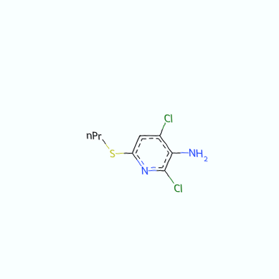 CCCSc1cc(Cl)c(N)c(Cl)n1